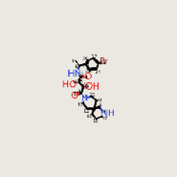 C[C@H](NC(=O)[C@H](O)[C@@H](O)C(=O)N1CCC2(CCCNC2)CC1)c1ccc(Br)cc1